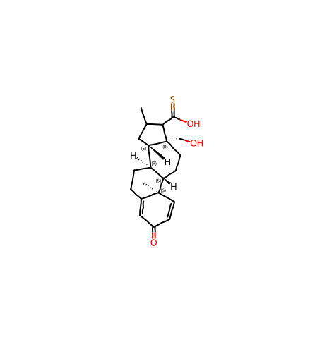 CC1C[C@H]2[C@@H]3CCC4=CC(=O)C=C[C@]4(C)[C@H]3CC[C@]2(CO)C1C(O)=S